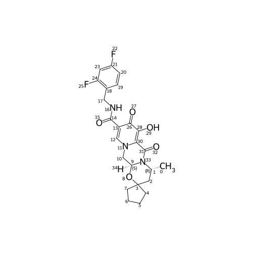 C[C@@H]1CC2(CCCC2)O[C@H]2Cn3cc(C(=O)NCc4ccc(F)cc4F)c(=O)c(O)c3C(=O)N12